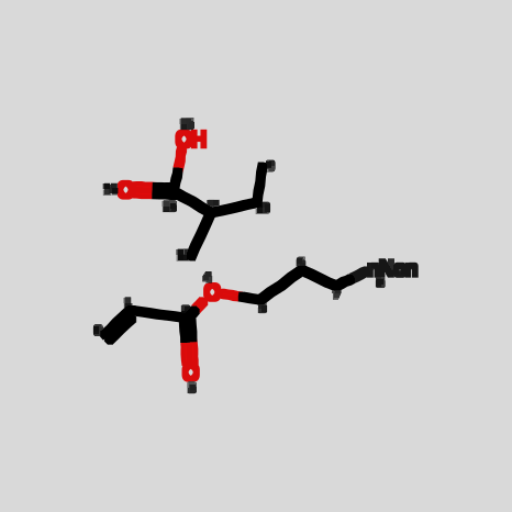 C=CC(=O)OCCCCCCCCCCCC.CCC(C)C(=O)O